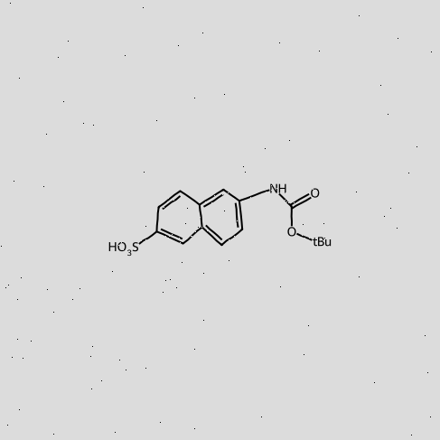 CC(C)(C)OC(=O)Nc1ccc2cc(S(=O)(=O)O)ccc2c1